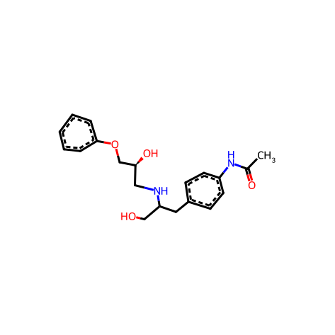 CC(=O)Nc1ccc(CC(CO)NC[C@H](O)COc2ccccc2)cc1